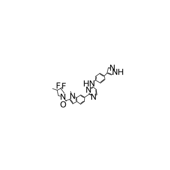 CC1CN(C(=O)c2cc3ccc(-c4nccc(Nc5ccc(-c6cn[nH]c6)cc5)n4)cc3n2C)CC1(F)F